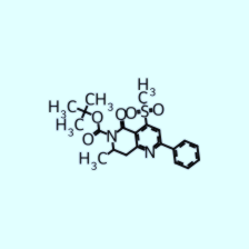 CC1Cc2nc(-c3ccccc3)cc(S(C)(=O)=O)c2C(=O)N1C(=O)OC(C)(C)C